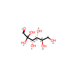 O=CC(O)(O)[C@@H](O)[C@H](O)[C@H](O)CO